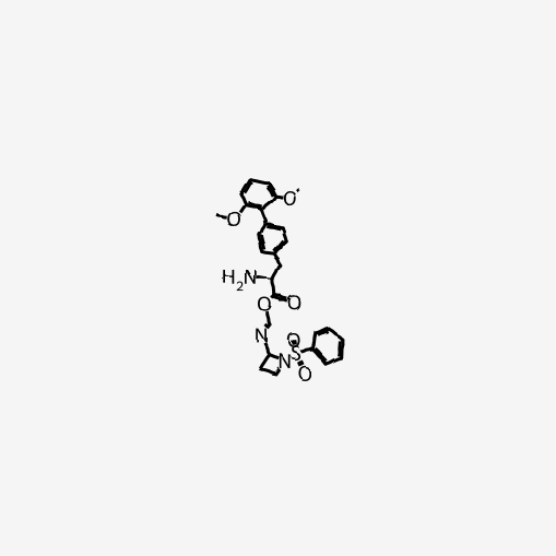 COc1cccc(OC)c1-c1ccc(C[C@H](N)C(=O)OC=NC2CCN2S(=O)(=O)c2ccccc2)cc1